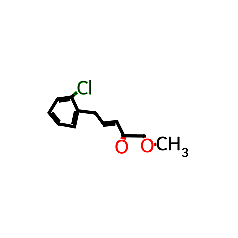 COCC(=O)/C=C/Cc1ccccc1Cl